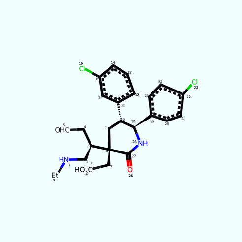 CCNC[C@@H](CC=O)[C@]1(CC(=O)O)C[C@H](c2cccc(Cl)c2)[C@@H](c2ccc(Cl)cc2)NC1=O